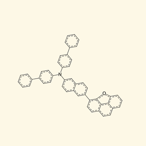 c1ccc(-c2ccc(N(c3ccc(-c4ccccc4)cc3)c3ccc4cc(-c5ccc6ccc7cccc8oc5c6c78)ccc4c3)cc2)cc1